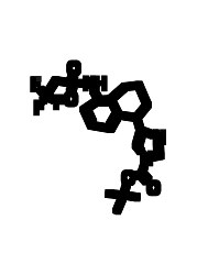 CC(C)(C)OC(=O)n1cnc(C2CCCc3c(NS(=O)(=O)CC(F)(F)F)cccc32)c1